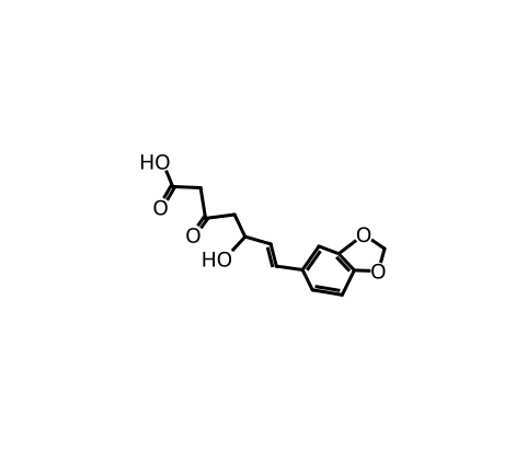 O=C(O)CC(=O)CC(O)C=Cc1ccc2c(c1)OCO2